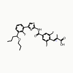 CCCOC(CCC)c1cccc(-c2csc(NC(=O)c3cc(F)c(/C=C(\C)C(=O)O)c(F)c3)n2)c1F